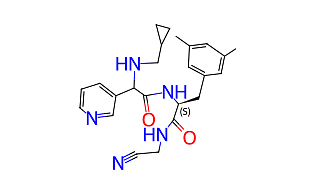 Cc1cc(C)cc(C[C@H](NC(=O)C(NCC2CC2)c2cccnc2)C(=O)NCC#N)c1